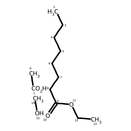 CC(=O)O.CCCCCCCC(=O)OCC.CO